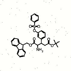 CC(C)(C)OC(=O)CC(c1cccc(OS(=O)(=O)c2ccccc2)c1)C(N)C(=O)OCC1c2ccccc2-c2ccccc21